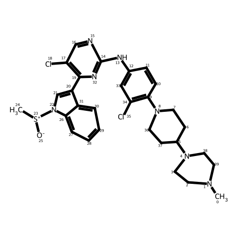 CN1CCN(C2CCN(c3ccc(Nc4ncc(Cl)c(-c5cn([S+](C)[O-])c6ccccc56)n4)cc3Cl)CC2)CC1